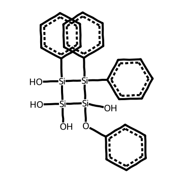 O[Si]1(O)[Si](O)(Oc2ccccc2)[Si](c2ccccc2)(c2ccccc2)[Si]1(O)c1ccccc1